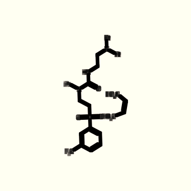 CCN(CC)CCNC(=O)N(CCS(=O)(=O)c1cccc(C(F)(F)F)c1)C(C)C.O=C(O)/C=C\C(=O)O